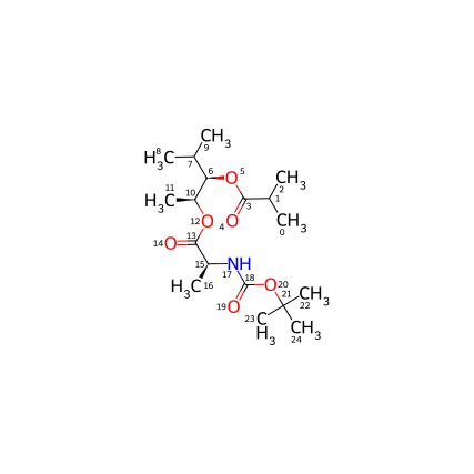 CC(C)C(=O)O[C@H](C(C)C)[C@H](C)OC(=O)[C@H](C)NC(=O)OC(C)(C)C